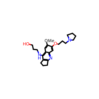 COc1cc2c(NCCCO)c3c(nc2cc1OCCCN1CCCC1)CCC3